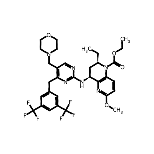 CCOC(=O)N1c2ccc(OC)nc2[C@@H](Nc2ncc(CN3CCOCC3)c(Cc3cc(C(F)(F)F)cc(C(F)(F)F)c3)n2)C[C@H]1CC